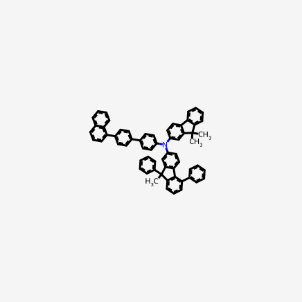 CC1(C)c2ccccc2-c2ccc(N(c3ccc(-c4ccc(-c5cccc6ccccc56)cc4)cc3)c3ccc4c(c3)C(C)(c3ccccc3)c3cccc(-c5ccccc5)c3-4)cc21